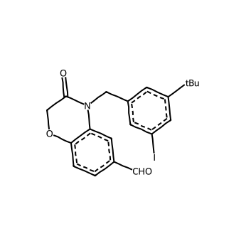 CC(C)(C)c1cc(I)cc(CN2C(=O)COc3ccc(C=O)cc32)c1